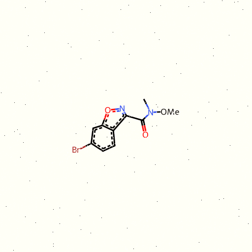 CON(C)C(=O)c1noc2cc(Br)ccc12